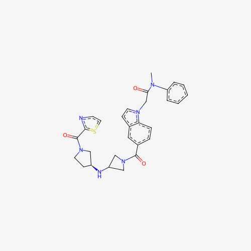 CN(C(=O)Cn1ccc2cc(C(=O)N3CC(N[C@H]4CCN(C(=O)c5nccs5)C4)C3)ccc21)c1ccccc1